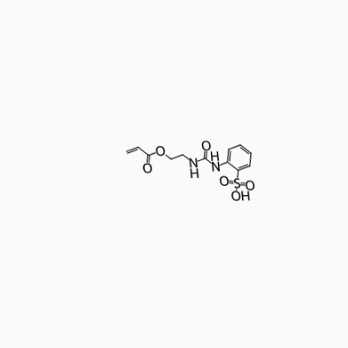 C=CC(=O)OCCNC(=O)Nc1ccccc1S(=O)(=O)O